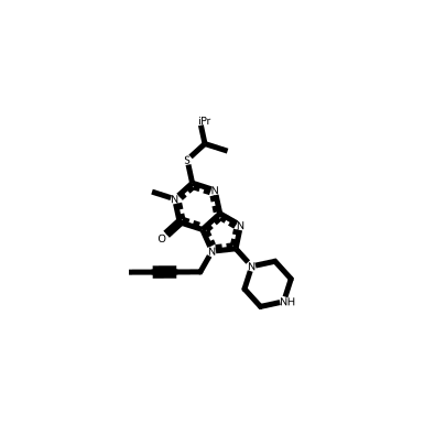 CC#CCn1c(N2CCNCC2)nc2nc(SC(C)C(C)C)n(C)c(=O)c21